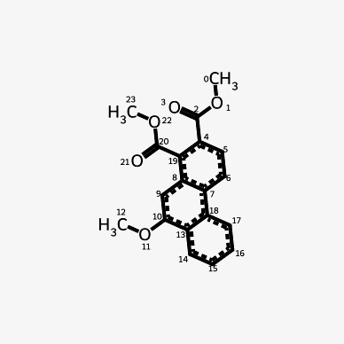 COC(=O)c1ccc2c(cc(OC)c3ccccc32)c1C(=O)OC